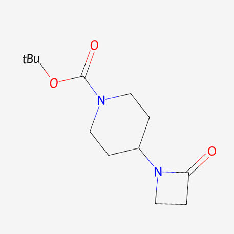 CC(C)(C)OC(=O)N1CCC(N2CCC2=O)CC1